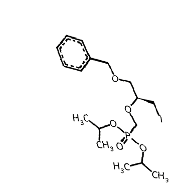 CC(C)OP(=O)(CO[C@H](CI)COCc1ccccc1)OC(C)C